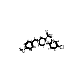 COc1ccc(CN2CCN(c3ccc(Cl)cn3)[C@@H](C(C)C)C2)cc1